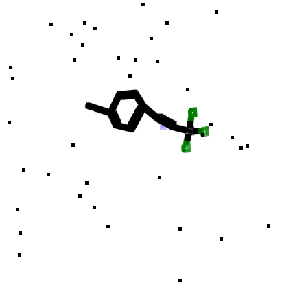 Cc1ccc(/C=C/[Si](Cl)(Cl)Cl)cc1